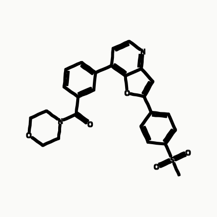 CS(=O)(=O)c1ccc(-c2cc3nccc(-c4cccc(C(=O)N5CCOCC5)c4)c3o2)cc1